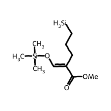 COC(=O)C(=CO[Si](C)(C)C)CCC[SiH3]